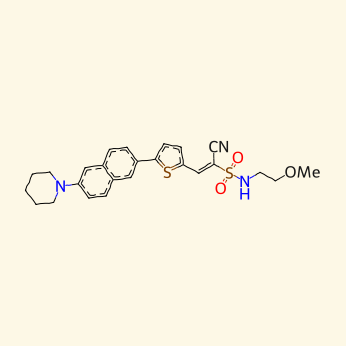 COCCNS(=O)(=O)/C(C#N)=C/c1ccc(-c2ccc3cc(N4CCCCC4)ccc3c2)s1